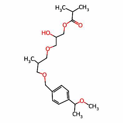 COC(C)c1ccc(COCC(C)COCC(O)COC(=O)C(C)C)cc1